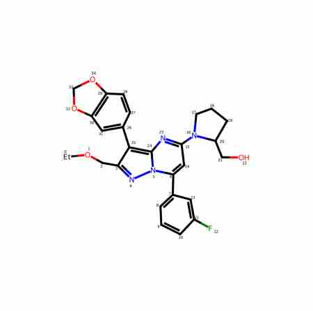 CCOCc1nn2c(-c3cccc(F)c3)cc(N3CCCC3CO)nc2c1-c1ccc2c(c1)OCO2